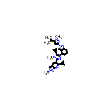 C=C(C)c1cc(-n2cc3c(-c4nc(-c5cc6cn(C)nc6nc5C5CC5)n(C)c4C4CC4)cccc3n2)nn1C